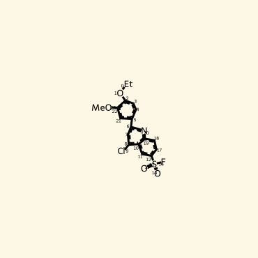 CCOc1ccc(-c2cc(Cl)c3cc(S(=O)(=O)F)ccc3n2)cc1OC